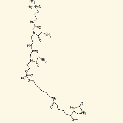 BCC(=O)N(CCNC(=O)CN(CCOP(=O)(O)OCCCCCCNC(=O)CCCCC1SCC2NC(=O)NC21)C(=O)CB)CC(=O)NCCOP(=O)(O)O